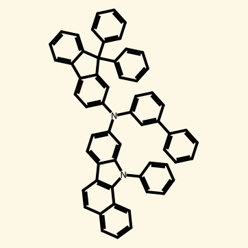 c1ccc(-c2cccc(N(c3ccc4c(c3)C(c3ccccc3)(c3ccccc3)c3ccccc3-4)c3ccc4c5ccc6ccccc6c5n(-c5ccccc5)c4c3)c2)cc1